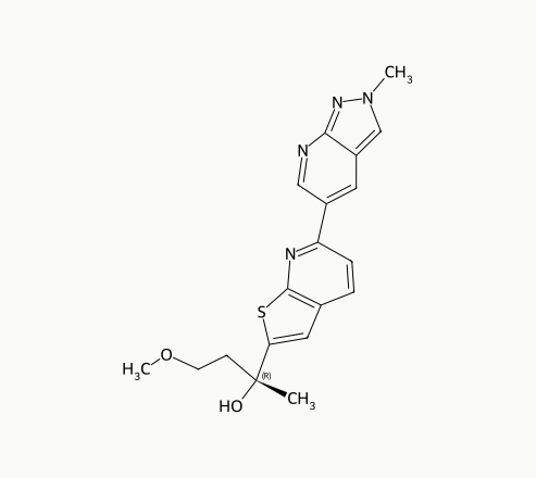 COCC[C@@](C)(O)c1cc2ccc(-c3cnc4nn(C)cc4c3)nc2s1